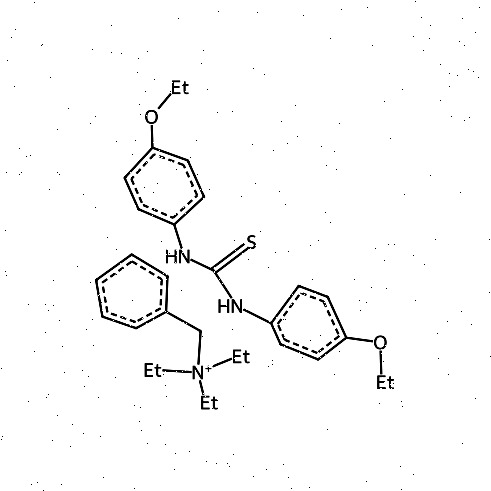 CCOc1ccc(NC(=S)Nc2ccc(OCC)cc2)cc1.CC[N+](CC)(CC)Cc1ccccc1